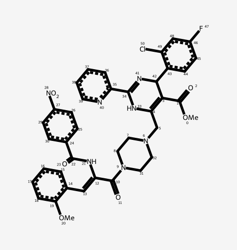 COC(=O)C1=C(CN2CCN(C(=O)/C(=C/c3ccccc3OC)NC(=O)c3ccc([N+](=O)[O-])cc3)CC2)NC(c2ccccn2)=NC1c1ccc(F)cc1Cl